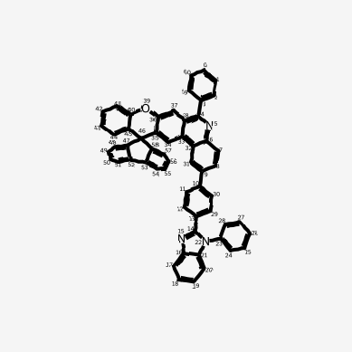 c1ccc(-c2nc3ccc(-c4ccc(-c5nc6ccccc6n5-c5ccccc5)cc4)cc3c3cc4c(cc23)Oc2ccccc2C42c3ccccc3-c3ccccc32)cc1